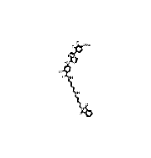 CCc1cc(Nc2nccn3c(-c4ccc(OC)c(F)c4F)cnc23)ccc1C(=O)NCCCCCNCCCCCN1C(=O)c2ccccc2C1=O